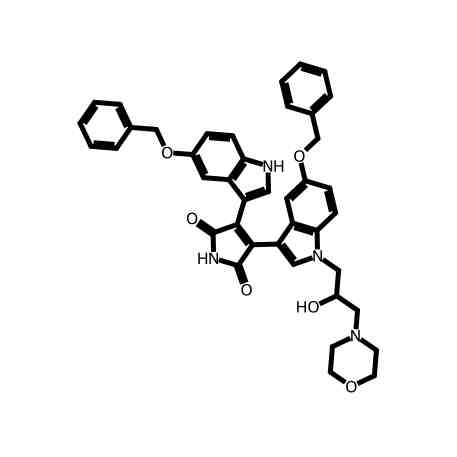 O=C1NC(=O)C(c2cn(CC(O)CN3CCOCC3)c3ccc(OCc4ccccc4)cc23)=C1c1c[nH]c2ccc(OCc3ccccc3)cc12